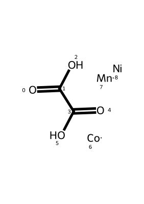 O=C(O)C(=O)O.[Co].[Mn].[Ni]